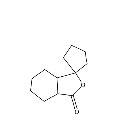 O=C1OC2(CCCC2)C2CCCCC12